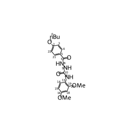 CCCCOc1ccc(C(=O)NNC(=O)Nc2ccc(OC)cc2OC)cc1